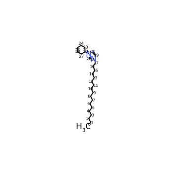 CCCCCCCCCCCCCCCCCCn1cc[n+](C2CCCCC2)c1